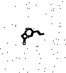 CC=CC1=CN2C(=O)CC2SC1